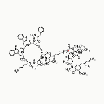 C=C/C=C(\C)Cc1cc(OC)c(Cl)c(N(C)C(=O)C[C@H](OC(=O)[C@H](C)N(C)C(=O)CCSSCCNC(=O)[C@@H](NC(=O)[C@@H]2CSSC[C@H](NC(=O)[C@H](N)Cc3ccccc3)C(=O)N[C@@H](Cc3csc4ccccc34)C(=O)N[C@H](Cc3c[nH]c4ccccc34)C(=O)N[C@@H](CCCCN)C(=O)N[C@@H]([C@@H](C)O)C(=O)N2)[C@@H](C)O)[C@]2(C)O[C@H]2[C@H](C)[C@@H]2C[C@](O)([C@@H](C)OC)NC(=O)O2)c1